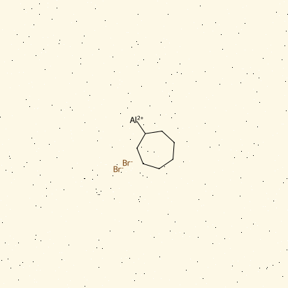 [Al+2][CH]1CCCCCC1.[Br-].[Br-]